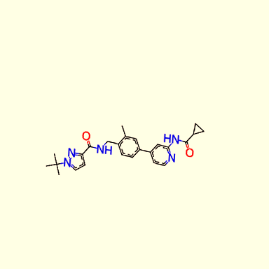 Cc1cc(-c2ccnc(NC(=O)C3CC3)c2)ccc1CNC(=O)c1ccn(C(C)(C)C)n1